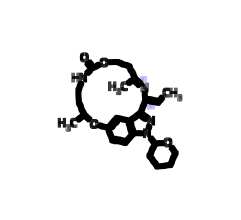 C/C=C1\N=C(/C)CCOC(=O)NCCC(C)Oc2ccc3c(c2)c1nn3C1CCCCO1